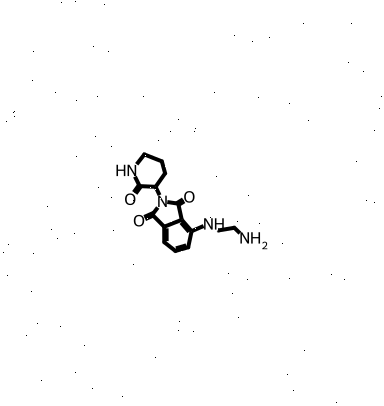 NCCNc1cccc2c1C(=O)N(C1CCCNC1=O)C2=O